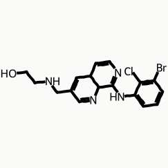 OCCNCC1=CC2C=CN=C(Nc3cccc(Br)c3Cl)C2N=C1